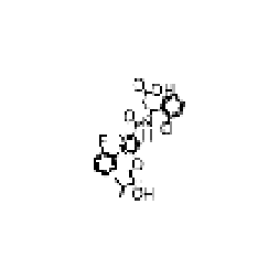 CC(C)[C@](C)(O)COc1cc(C(=O)N[C@@H](CC(=O)O)c2ccccc2Cl)nn1-c1ccccc1F